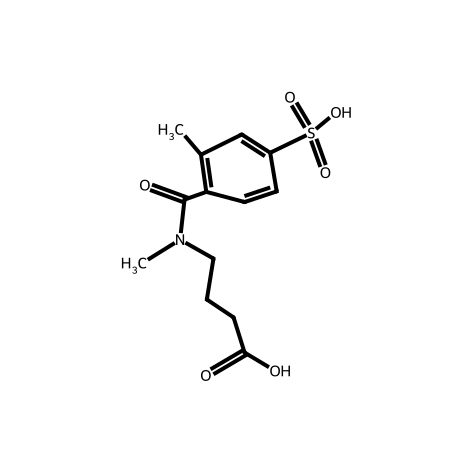 Cc1cc(S(=O)(=O)O)ccc1C(=O)N(C)CCCC(=O)O